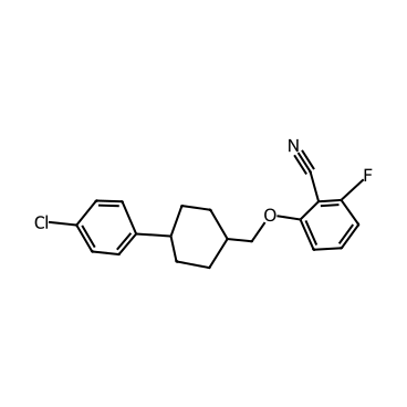 N#Cc1c(F)cccc1OCC1CCC(c2ccc(Cl)cc2)CC1